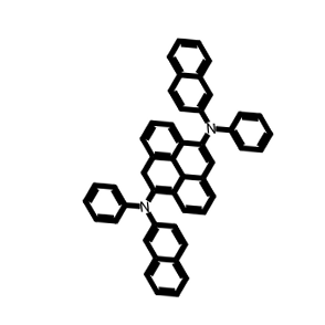 C1=CC2=C(N(c3ccccc3)c3ccc4ccccc4c3)Cc3cccc4c3C2C(=C1)C=C4N(c1ccccc1)c1ccc2ccccc2c1